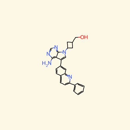 Nc1ncnc2c1c(-c1ccc3ccc(-c4ccccc4)nc3c1)cn2C1CC(CO)C1